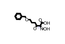 O=C(O)/C(=N\O)C(=O)CCCOCc1ccccc1